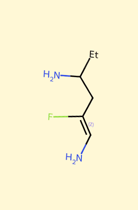 CCC(N)C/C(F)=C/N